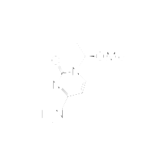 CO[C@H](C)n1ccc(N)nc1=O